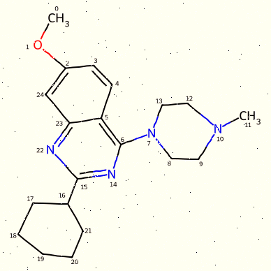 COc1ccc2c(N3CCN(C)CC3)nc(C3CCCCC3)nc2c1